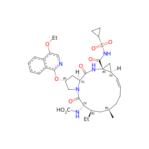 CCOc1cnc(O[C@@H]2C[C@H]3C(=O)N[C@]4(C(=O)NS(=O)(=O)C5CC5)C[C@H]4C=CCC[C@@H](C)C[C@@H](CC)[C@H](NC(=O)O)C(=O)N3C2)c2ccccc12